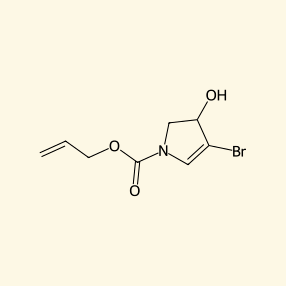 C=CCOC(=O)N1C=C(Br)C(O)C1